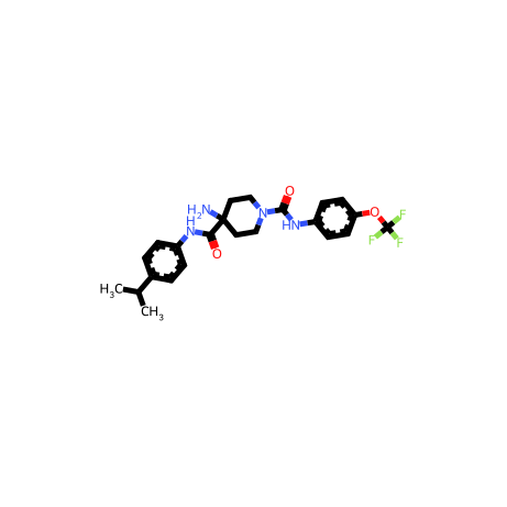 CC(C)c1ccc(NC(=O)C2(N)CCN(C(=O)Nc3ccc(OC(F)(F)F)cc3)CC2)cc1